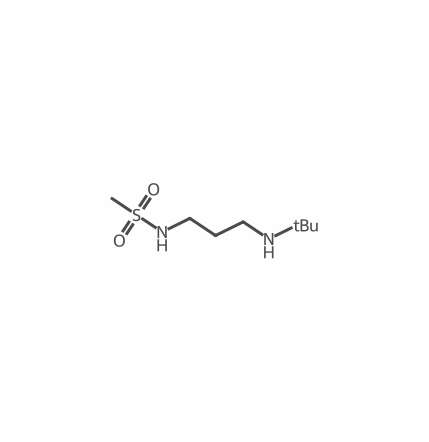 CC(C)(C)NCCCNS(C)(=O)=O